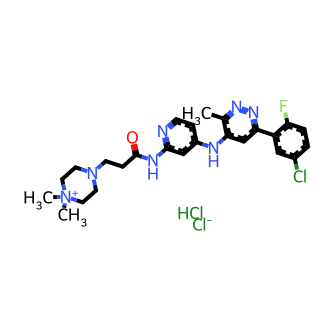 Cc1nnc(-c2cc(Cl)ccc2F)cc1Nc1ccnc(NC(=O)CCN2CC[N+](C)(C)CC2)c1.Cl.[Cl-]